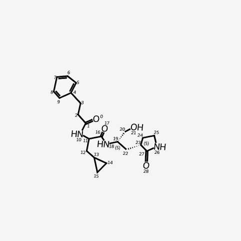 O=C(CCc1ccccc1)NC(CC1CC1)C(=O)N[C@H](CO)C[C@@H]1CCNC1=O